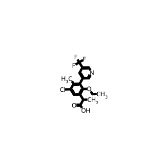 CCOc1c(C(C)C(=O)O)cc(Cl)c(C)c1-c1cncc(C(F)(F)F)c1